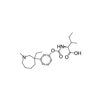 CCC(C)[C@H](NC(=O)Oc1cccc(C2(CC)CCCCN(C)C2)c1)C(=O)O